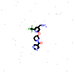 NCc1cc(OC2CCCN(C(=O)c3cncnc3)C2)nc(C(F)(F)F)c1